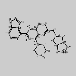 c1cc(-c2nc(N3CCOCC3)c3cc(CN4CC5CNCC5C4)ccc3n2)c2cc[nH]c2c1